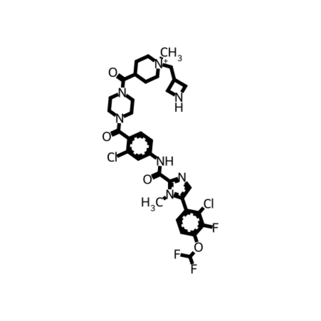 Cn1c(-c2ccc(OC(F)F)c(F)c2Cl)cnc1C(=O)Nc1ccc(C(=O)N2CCN(C(=O)C3CC[N+](C)(CC4CNC4)CC3)CC2)c(Cl)c1